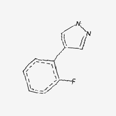 Fc1ccccc1C1=C[N]N=C1